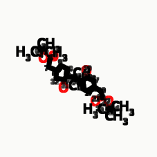 CC(C)(C)OC(=O)CC1=CC=C(C(C)(C)C2=CC=C(CC(=O)OC(C)(C)C)CC2=O)C(=O)C1